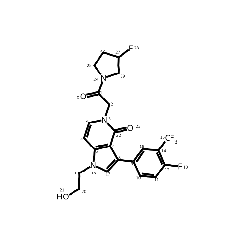 O=C(Cn1ccc2c(c(-c3ccc(F)c(C(F)(F)F)c3)cn2CCO)c1=O)N1CCC(F)C1